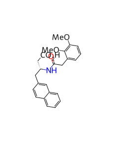 COc1cccc(CC(=O)N[C@@H](CC(=O)O)Cc2ccc3ccccc3c2)c1OC